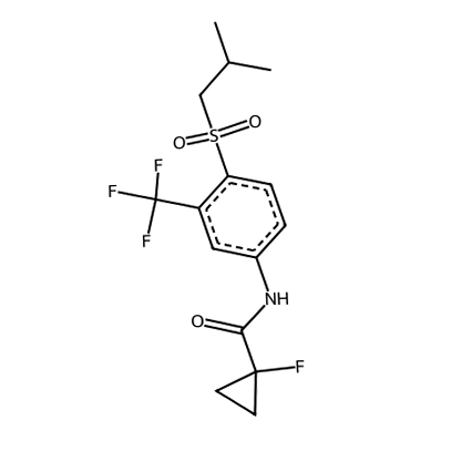 CC(C)CS(=O)(=O)c1ccc(NC(=O)C2(F)CC2)cc1C(F)(F)F